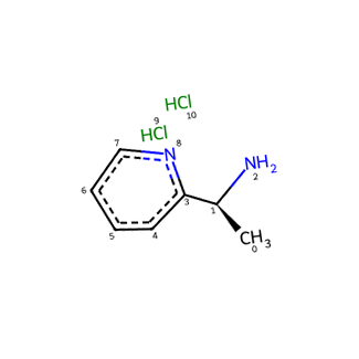 C[C@H](N)c1ccccn1.Cl.Cl